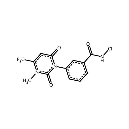 Cn1c(C(F)(F)F)cc(=O)n(-c2cccc(C(=O)NCl)c2)c1=O